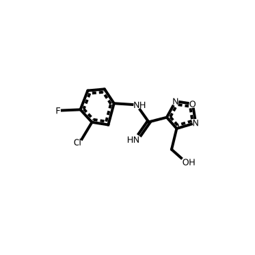 N=C(Nc1ccc(F)c(Cl)c1)c1nonc1CO